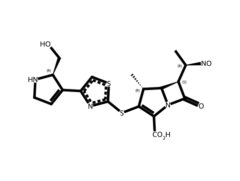 C[C@H]1C(Sc2nc(C3=CCN[C@H]3CO)cs2)=C(C(=O)O)N2C(=O)[C@H]([C@@H](C)N=O)C12